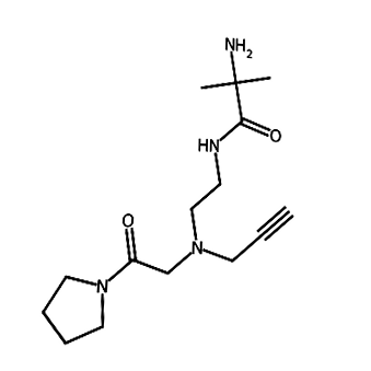 C#CCN(CCNC(=O)C(C)(C)N)CC(=O)N1CCCC1